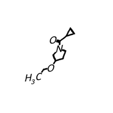 CCOC1CCN(C(=O)C2CC2)C1